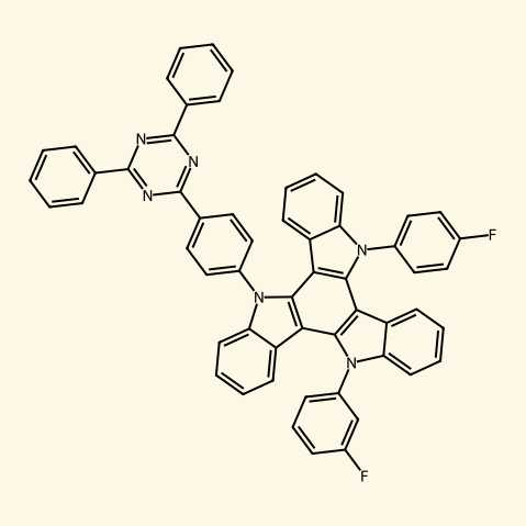 Fc1ccc(-n2c3ccccc3c3c2c2c4ccccc4n(-c4cccc(F)c4)c2c2c4ccccc4n(-c4ccc(-c5nc(-c6ccccc6)nc(-c6ccccc6)n5)cc4)c32)cc1